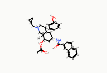 CC(=O)OC1C[C@@H](NC(=O)c2ccc3ccccc3c2)C[C@]2(c3cccc(O)c3)CCN(CC3CC3)C[C@@H]12